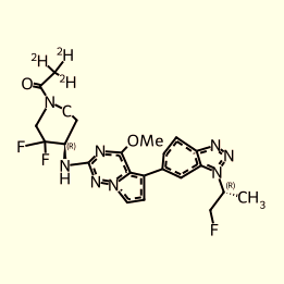 [2H]C([2H])([2H])C(=O)N1CC[C@@H](Nc2nc(OC)c3c(-c4ccc5nnn([C@H](C)CF)c5c4)ccn3n2)C(F)(F)C1